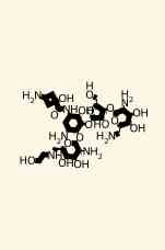 NC[C@@H]1O[C@H](O[C@H]2[C@@H](O)[C@H](O[C@@H]3[C@@H](O)[C@H](NC(=O)C4(O)CC(N)C4)C[C@H](N)[C@H]3O[C@H]3O[C@H](CNCCO)[C@@H](O)[C@H](O)[C@H]3N)O[C@@H]2CO)[C@H](N)[C@@H](O)[C@@H]1O